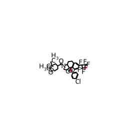 CCC1(C)CC(C(=O)N2CCC3(S(=O)(=O)c4ccc(Cl)cc4)c4ccc(C(F)(C(F)(F)F)C(F)(F)F)cc4CCC23)CCS1(=O)=O